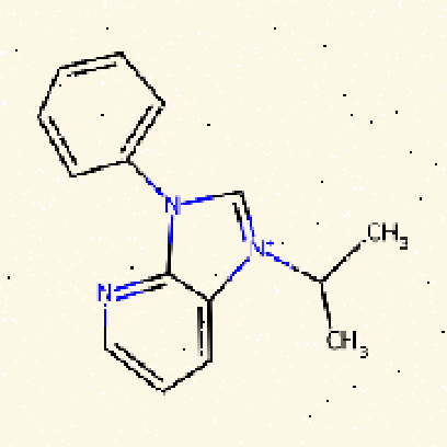 CC(C)[n+]1cn(-c2ccccc2)c2ncccc21